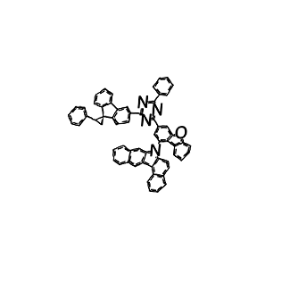 c1ccc(-c2nc(-c3ccc4c(c3)-c3ccccc3[C@]43CC3c3ccccc3)nc(-c3cc(-n4c5cc6ccccc6cc5c5c6ccccc6ccc54)c4c(c3)oc3ccccc34)n2)cc1